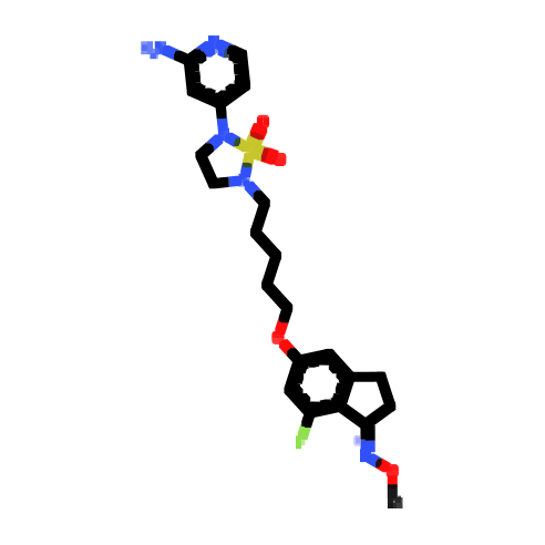 CCO/N=C1\CCc2cc(OCCCCCN3CCN(c4ccnc(N)c4)S3(=O)=O)cc(F)c21